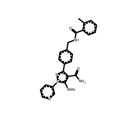 CNc1c(C(N)=O)c(-c2ccc(CNC(=O)c3ccccc3C)cc2)nn1-c1cccnc1